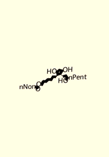 CCCCCCCCCC(=O)O/C=C/C=C/CCC[C@@H]1[C@@H](CC[C@@H](O)CCCCC)[C@H](O)C[C@@H]1O